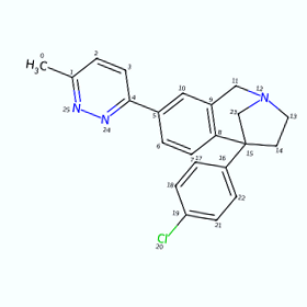 Cc1ccc(-c2ccc3c(c2)CN2CCC3(c3ccc(Cl)cc3)C2)nn1